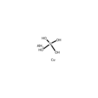 O[Si](O)(O)O.[AlH3].[Cu]